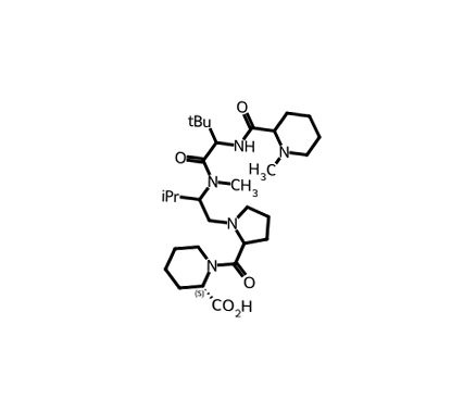 CC(C)C(CN1CCCC1C(=O)N1CCCC[C@H]1C(=O)O)N(C)C(=O)C(NC(=O)C1CCCCN1C)C(C)(C)C